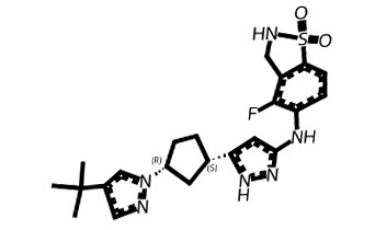 CC(C)(C)c1cnn([C@@H]2CC[C@H](c3cc(Nc4ccc5c(c4F)CNS5(=O)=O)n[nH]3)C2)c1